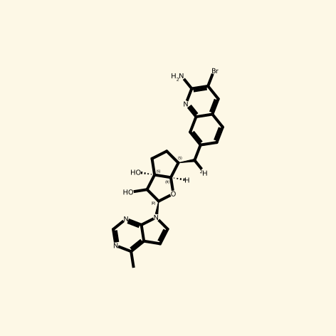 [2H]C(c1ccc2cc(Br)c(N)nc2c1)[C@@H]1CC[C@]2(O)C(O)[C@H](n3ccc4c(C)ncnc43)O[C@H]12